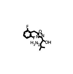 CC(C)[C@H](N)C(O)c1noc(Cc2c(F)cccc2F)n1